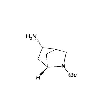 CC(C)(C)N1CC2C[C@H]1C[C@@H]2N